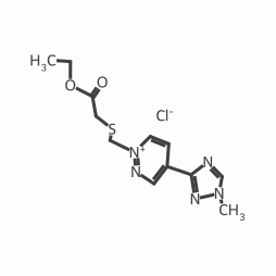 CCOC(=O)CSC[n+]1ccc(-c2ncn(C)n2)cn1.[Cl-]